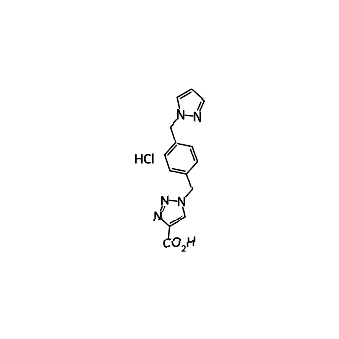 Cl.O=C(O)c1cn(Cc2ccc(Cn3cccn3)cc2)nn1